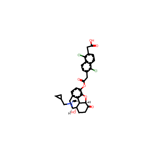 O=C(O)Cc1ccc2c(Cl)c(CC(=O)Oc3ccc4c5c3O[C@H]3C(=O)CC[C@@]6(O)[C@@H](C4)N(CC4CC4)C=C[C@]536)ccc2c1Cl